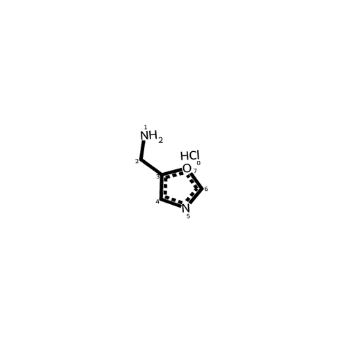 Cl.NCc1cnco1